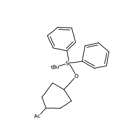 CC(=O)C1CCC(O[Si](c2ccccc2)(c2ccccc2)C(C)(C)C)CC1